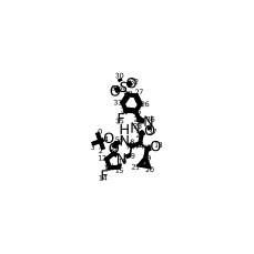 CC(C)(C)OC(=O)N[C@H](CN1CC[C@H](F)C1)[C@H](C(=O)C1CC1)c1nc(-c2ccc(S(C)(=O)=O)cc2F)no1